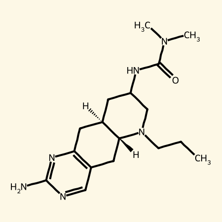 CCCN1CC(NC(=O)N(C)C)C[C@@H]2Cc3nc(N)ncc3C[C@H]21